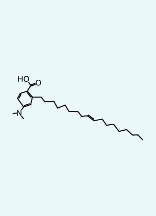 CCCCCCCCC=CCCCCCCCCc1cc(N(C)C)ccc1C(=O)O